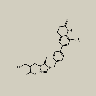 Cc1cc(-c2ccc(Cn3cnn(CC(CN)=C(F)F)c3=O)cc2)cc2c1NC(=O)CC2